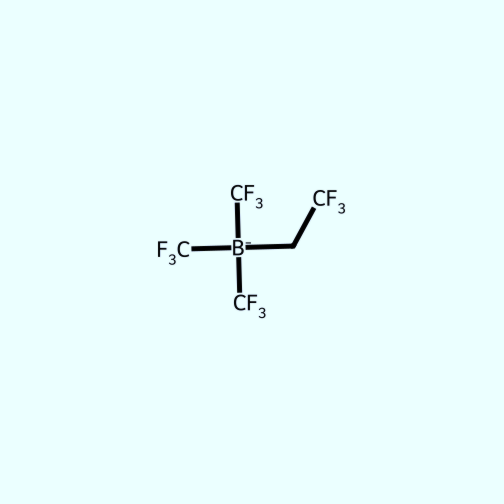 FC(F)(F)C[B-](C(F)(F)F)(C(F)(F)F)C(F)(F)F